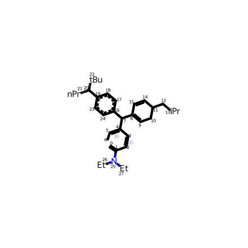 C=C(/C=C\C(=C/C)C(C1=CCC(CC(C)C)C=C1)c1ccc(C(CCC)C(C)(C)C)cc1)N(CC)CC